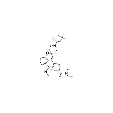 CCN(CC)C(=O)c1ccc(C2=CC3(CCN(C(=O)CC(C)(C)C)CC3)Oc3cccc(C(=O)N(C)C)c32)cc1